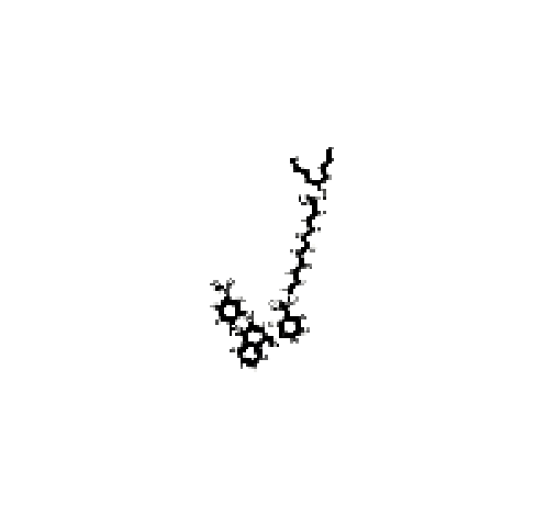 CCCCC(CCCC)OC(=O)CCCCCCCCCCOC(=O)c1cccc(/N=c2\cc3oc4cc(N(C)C)ccc4nc-3c3ccccc23)c1